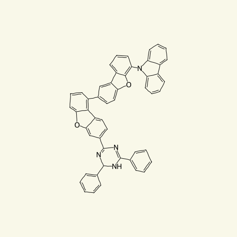 c1ccc(C2=NC(c3ccc4c(c3)oc3cccc(-c5ccc6oc7c(-n8c9ccccc9c9ccccc98)cccc7c6c5)c34)=NC(c3ccccc3)N2)cc1